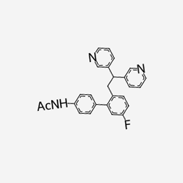 CC(=O)Nc1ccc(-c2cc(F)ccc2CC(c2cccnc2)c2cccnc2)cc1